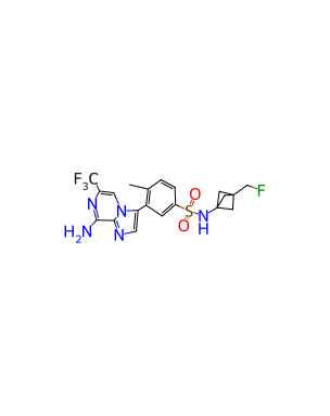 Cc1ccc(S(=O)(=O)NC23CC(CF)(C2)C3)cc1-c1cnc2c(N)nc(C(F)(F)F)cn12